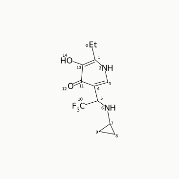 CCc1[nH]cc(C(NC2CC2)C(F)(F)F)c(=O)c1O